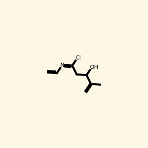 C=C/N=C(/Cl)CC(O)C(=C)C